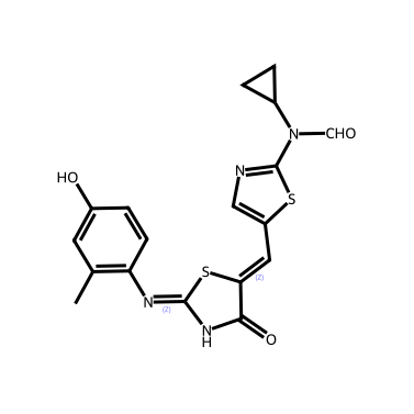 Cc1cc(O)ccc1/N=C1/NC(=O)/C(=C/c2cnc(N(C=O)C3CC3)s2)S1